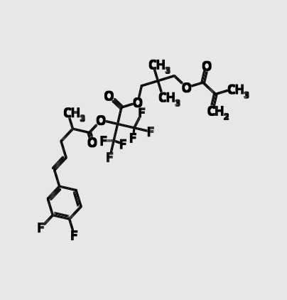 C=C(C)C(=O)OCC(C)(C)COC(=O)C(OC(=O)C(C)C/C=C/c1ccc(F)c(F)c1)(C(F)(F)F)C(F)(F)F